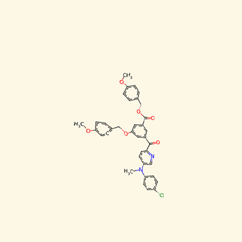 COc1ccc(COC(=O)c2cc(OCc3ccc(OC)cc3)cc(C(=O)c3ccc(N(C)c4ccc(Cl)cc4)cn3)c2)cc1